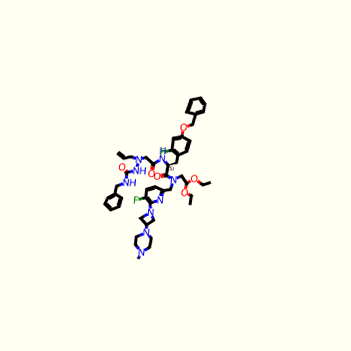 C=CCN(CC(=O)N[C@@H](Cc1ccc(OCc2ccccc2)cc1F)C(=O)N(Cc1ccc(F)c(N2CC(N3CCN(C)CC3)C2)n1)CC(OCC)OCC)NC(=O)NCc1ccccc1